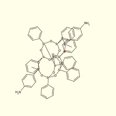 C[Si]1(c2ccc(N)cc2)O[Si]2(c3ccccc3)O[SiH]3O[Si]4(c5ccccc5)O[Si](C)(c5ccc(N)cc5)O[Si]5(c6ccccc6)O[Si](c6ccccc6)(O3)O[Si](c3ccccc3)(O1)O[Si](c1ccccc1)(O5)O[Si](c1ccccc1)(O2)O4